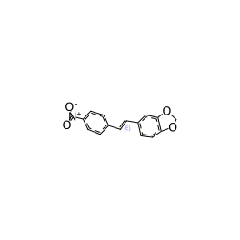 O=[N+]([O-])c1ccc(/C=C/c2ccc3c(c2)OCO3)cc1